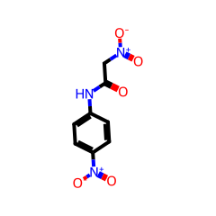 O=C(C[N+](=O)[O-])Nc1ccc([N+](=O)[O-])cc1